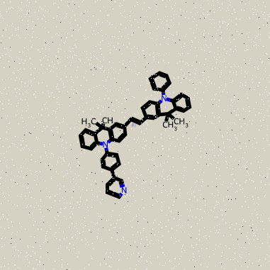 CC1(C)c2ccccc2N(c2ccccc2)c2ccc(/C=C/c3ccc4c(c3)C(C)(C)c3ccccc3N4c3ccc(-c4cccnc4)cc3)cc21